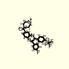 CN1CCN(C(=O)c2ccc3nc(-c4ccc(F)cc4)c(-c4ccc(OC(F)(F)F)cc4)nc3c2)CC1